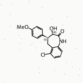 COc1ccc([C@@H]2Cc3c(Cl)cccc3NC(=O)[C@@H]2O)cc1